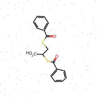 O=C(SCC(SC(=O)c1ccccc1)C(=O)O)c1ccccc1